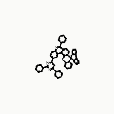 c1ccc(-c2cc(-c3ccc4nc(-c5ccccc5)c5ccc6c(c5c4c3)Sc3ccccc3C63c4ccccc4-c4ccccc43)nc(-c3ccccc3)n2)cc1